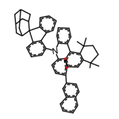 CC1(C)CCC(C)(C)c2c(-c3ccccc3N(c3ccc(-c4ccc5ccccc5c4)cc3)c3cccc4c3-c3ccccc3C43C4CC5CC(C4)CC3C5)cccc21